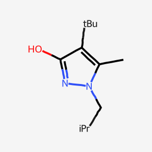 Cc1c(C(C)(C)C)c(O)nn1CC(C)C